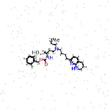 COCCN(CCCCc1ccc2c(n1)NCCC2)CCC(NC(=O)OCc1c(F)cccc1F)C(=O)O